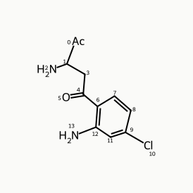 CC(=O)C(N)CC(=O)c1ccc(Cl)cc1N